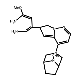 CO/C(N)=C/C(=C\N)C1C=C2C(N3CC4CCC(C3)N4C=O)=CC=NN2C1